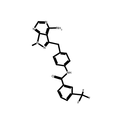 Cn1nc(Cc2ccc(NC(=O)c3cccc(C(F)(F)F)c3)cc2)c2c(N)ncnc21